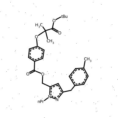 CCCn1nc(Cc2ccc(C)cc2)cc1COC(=O)c1ccc(OC(C)(C)C(=O)OC(C)(C)C)cc1